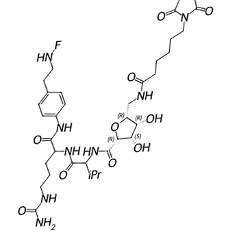 CC(C)C(NC(=O)[C@@H]1O[C@H](CNC(=O)CCCCCN2C(=O)C=CC2=O)[C@H](O)[C@@H]1O)C(=O)NC(CCCNC(N)=O)C(=O)Nc1ccc(CCNF)cc1